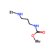 CCNCCCNC(=O)OC(C)(C)C